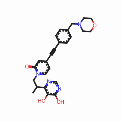 CC(Cn1ccc(C#Cc2ccc(CN3CCOCC3)cc2)cc1=O)c1ncnc(O)c1O